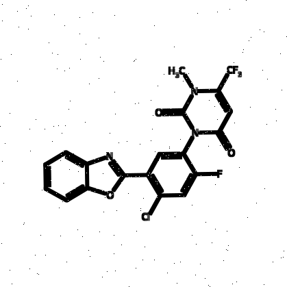 Cn1c(C(F)(F)F)cc(=O)n(-c2cc(-c3nc4ccccc4o3)c(Cl)cc2F)c1=O